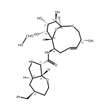 CC(C)C[C@@H]1CCO[C@@H]2[C@H](CN[C@@H]2C(=O)N[C@@H]2C/C=C/[C@@H](O)CS[C@H]3O[C@H]2[C@H](O)[C@H](O)[C@H]3O)C1.O=CO